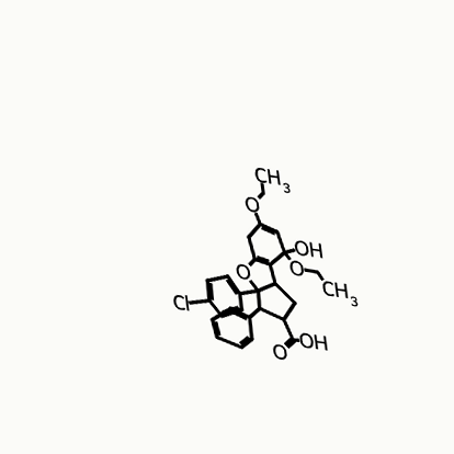 CCOC1=CC(O)(OCC)C2=C(C1)OC1(c3ccc(Cl)cc3)C2CC(C(=O)O)C1c1ccccc1